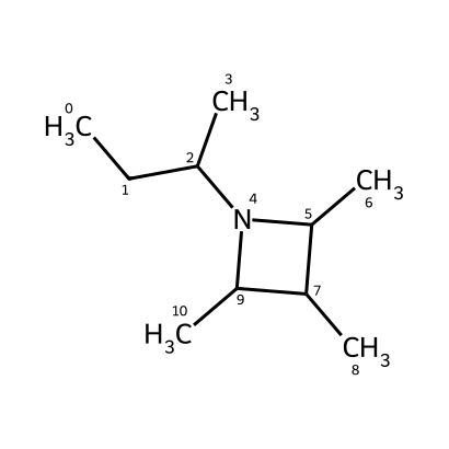 CCC(C)N1C(C)C(C)C1C